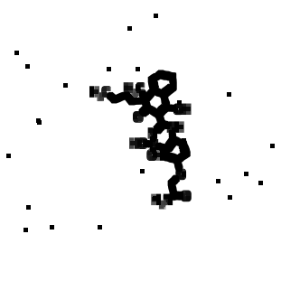 CCCCC1(C)C(=O)C(C2=NS(O)(O)c3cc(OCC(N)=O)ccc3N2)=C(O)c2ccccc21